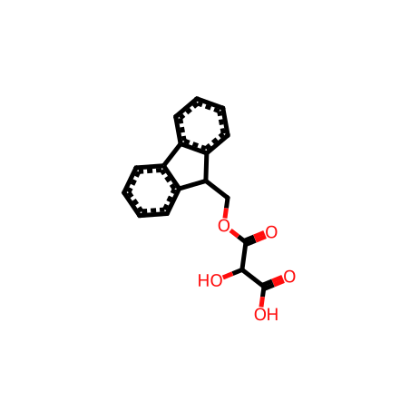 O=C(O)C(O)C(=O)OCC1c2ccccc2-c2ccccc21